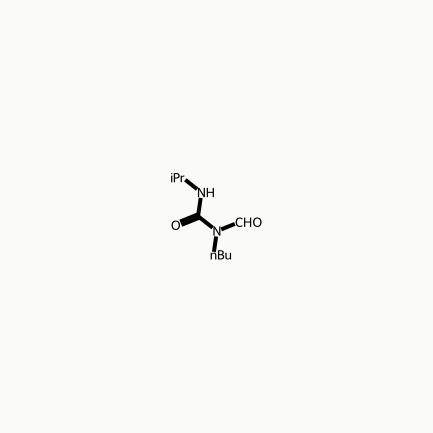 CCCCN(C=O)C(=O)NC(C)C